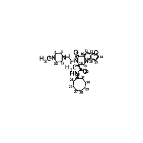 CN1CCN(CCN2C(=O)c3cc4occc4n3CC2(C)C(=O)NC2CCCCCCC2)CC1